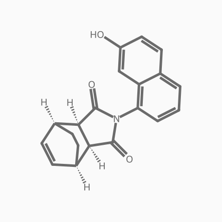 O=C1[C@@H]2[C@H](C(=O)N1c1cccc3ccc(O)cc13)[C@@H]1C=C[C@H]2CC1